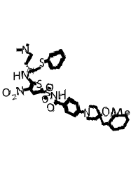 COC1(CC2CCCCC2)CCN(c2ccc(C(=O)NS(=O)(=O)c3cc([N+](=O)[O-])c(N[C@H](CCN(C)C)CSc4ccccc4)s3)cc2)CC1